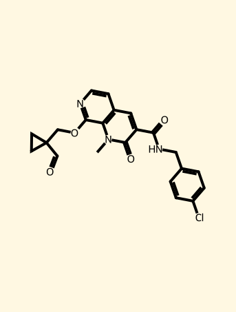 Cn1c(=O)c(C(=O)NCc2ccc(Cl)cc2)cc2ccnc(OCC3(C=O)CC3)c21